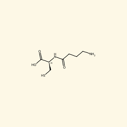 NCCCC(=O)N[C@@H](CS)C(=O)O